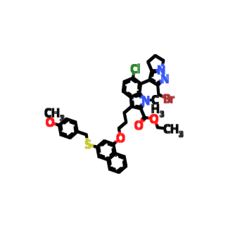 CCOC(=O)c1c(CCCOc2cc(SCc3ccc(OC)cc3)cc3ccccc23)c2ccc(Cl)c(-c3c(CBr)nn4c3CCC4)c2n1C